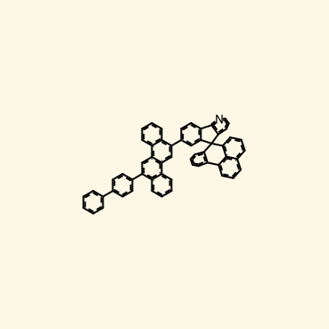 c1ccc(-c2ccc(-c3cc4c5ccccc5c(-c5ccc6c(c5)C5(c7ccccc7-c7cccc8cccc5c78)c5cccnc5-6)cc4c4ccccc34)cc2)cc1